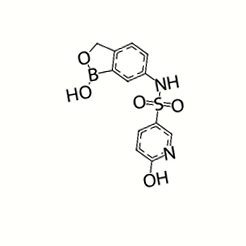 O=S(=O)(Nc1ccc2c(c1)B(O)OC2)c1ccc(O)nc1